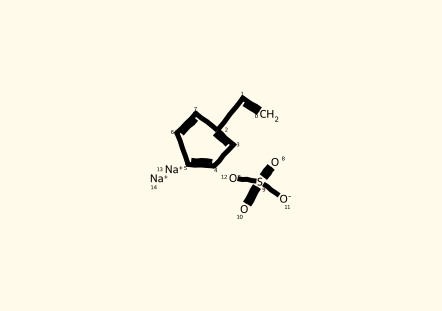 C=Cc1ccccc1.O=S(=O)([O-])[O-].[Na+].[Na+]